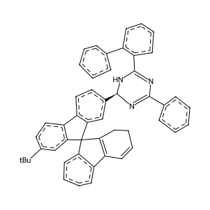 CC(C)(C)c1ccc2c(c1)C1(C3=C(C=CCC3)c3ccccc31)c1cc([C@@H]3N=C(c4ccccc4)N=C(c4ccccc4-c4ccccc4)N3)ccc1-2